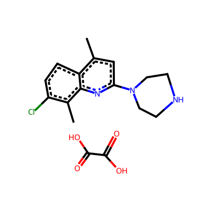 Cc1cc(N2CCNCC2)nc2c(C)c(Cl)ccc12.O=C(O)C(=O)O